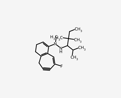 CCC(C)(C)C(NN(C)C1=CCCC2=C1C=C(F)C#CC2)C(C)C